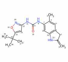 C=C1Cc2cc(C)c(NC(=O)Nc3cc(C(C)(C)C)on3)cc2N1